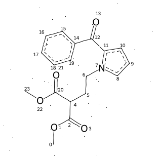 COC(=O)C(CCn1cccc1C(=O)c1ccccc1)C(=O)OC